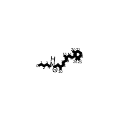 CCCCCNC(=O)C=C(C)C=CC=C(C)C=CC1=C(C)CCCC1(C)C